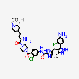 Nc1ccc(-c2[nH]nc(C(F)(F)F)c2Cc2cnc(C(=O)Nc3ccc(C(=O)N4CCN(C(=O)[C@@H](N)CCC5CCN(CC(=O)O)CC5)CC4)c(Cl)c3)[nH]2)c(F)c1